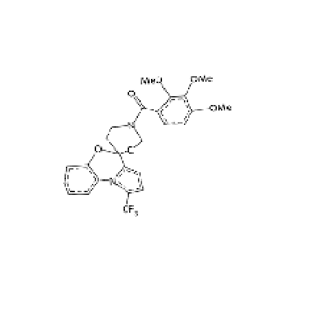 COc1ccc(C(=O)N2CCC3(CC2)Oc2ccccc2-n2c(C(F)(F)F)ccc23)c(OC)c1OC